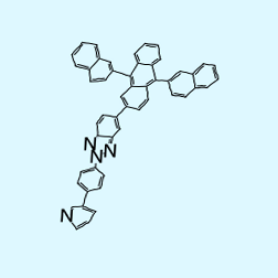 c1cncc(-c2ccc(-n3nc4ccc(-c5ccc6c(-c7ccc8ccccc8c7)c7ccccc7c(-c7ccc8ccccc8c7)c6c5)cc4n3)cc2)c1